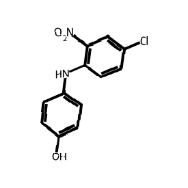 O=[N+]([O-])c1cc(Cl)ccc1Nc1ccc(O)cc1